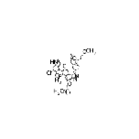 COC/C=C/C(=O)N1CC[C@H](n2nnc3c(OC[C@@H]4CCCN4C)nc4c(F)c(-c5c(C)c(Cl)cc6[nH]ncc56)c(Cl)cc4c32)C[C@H]1CC#N